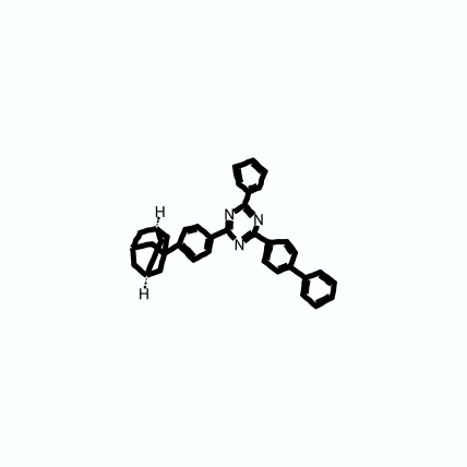 c1ccc(-c2ccc(-c3nc(-c4ccccc4)nc(-c4ccc(C56CC7C[C@H](C5)C[C@@H](C7)C6)cc4)n3)cc2)cc1